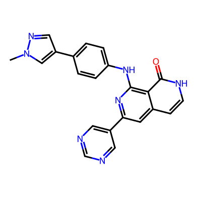 Cn1cc(-c2ccc(Nc3nc(-c4cncnc4)cc4cc[nH]c(=O)c34)cc2)cn1